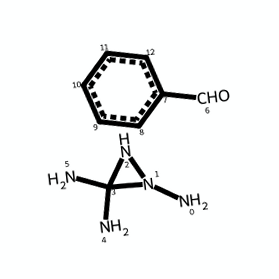 NN1NC1(N)N.O=Cc1ccccc1